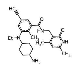 C#Cc1cc(C(=O)NCc2c(C)cc(C)[nH]c2=O)c(C)c(N(CC)C2CCC(N)CC2)c1